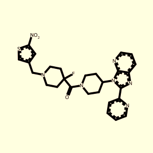 O=C(N1CCC(n2c(-c3ccccn3)nc3cccnc32)CC1)C1(F)CCN(Cc2csc([N+](=O)[O-])c2)CC1